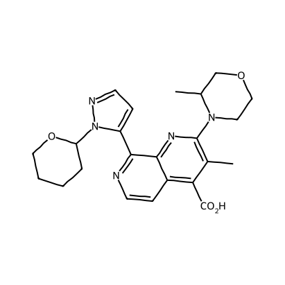 Cc1c(N2CCOCC2C)nc2c(-c3ccnn3C3CCCCO3)nccc2c1C(=O)O